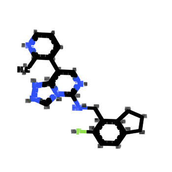 Cc1ncccc1-c1cnc(NCc2c(F)ccc3c2CCC3)n2cnnc12